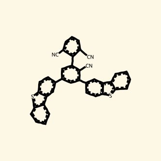 N#Cc1cccc(C#N)c1-c1cc(-c2ccc3sc4ccccc4c3c2)cc(-c2ccc3sc4ccccc4c3c2)c1C#N